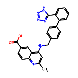 Cc1cc(NCc2ccc(-c3ccccc3-c3nnn[nH]3)cc2)c2cc(C(=O)O)ccc2n1